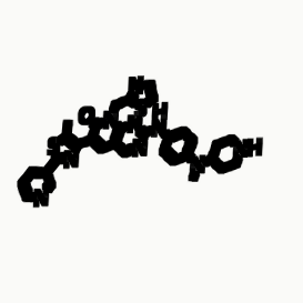 Cc1sc(-c2cccnc2)nc1-c1cc2cnc(Nc3ccc(N(C)C4CCNCC4)cc3)nc2n(Cc2nccs2)c1=O